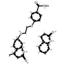 COC(=O)c1ccc(OCCOc2ccc3c(C)cc(=O)oc3c2)cc1.O=c1ccc2ccccc2o1